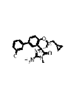 CN1C(=O)[C@@]2(C[C@H](CC3CC3)Oc3ccc(-c4cccc(Cl)c4)cc32)N=C1N